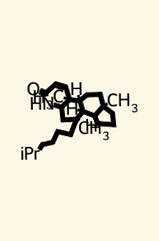 CC(C)CCCCC1(C)CC2NC(=O)C=C[C@]2(C)[C@@H]2CC[C@]3(C)CCC[C@H]3[C@@H]21